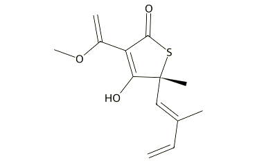 C=C/C(C)=C/[C@@]1(C)SC(=O)C(C(=C)OC)=C1O